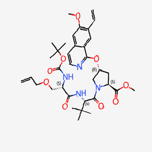 C=CCOC[C@H](NC(=O)OC(C)(C)C)C(=O)N[C@H](C(=O)N1C[C@H](Oc2nccc3cc(OC)c(C=C)cc23)C[C@H]1C(=O)OC)C(C)(C)C